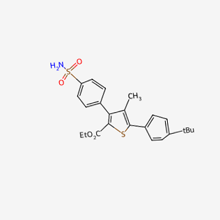 CCOC(=O)c1sc(-c2ccc(C(C)(C)C)cc2)c(C)c1-c1ccc(S(N)(=O)=O)cc1